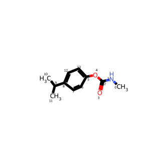 CNC(=O)Oc1ccc(C(C)C)cc1